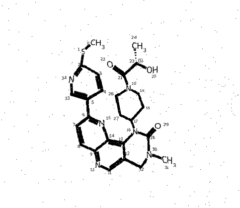 CSc1ccc(-c2ccc3ncc4c(c3n2)N(C2CCN(C(=O)[C@H](C)O)CC2)C(=O)N(C)C4)cn1